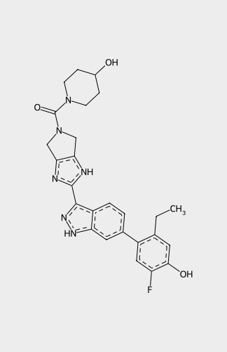 CCc1cc(O)c(F)cc1-c1ccc2c(-c3nc4c([nH]3)CN(C(=O)N3CCC(O)CC3)C4)n[nH]c2c1